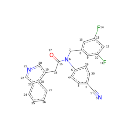 N#Cc1ccc(N(Cc2cc(F)cc(F)c2)C(=O)Cc2cncc3ccccc23)cc1